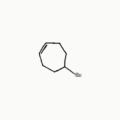 CCC(C)C1CCC=CCC1